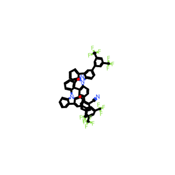 N#Cc1cc(C(F)(F)F)ccc1-c1ccc(-n2c3ccccc3c3cc(-c4cc(C(F)(F)F)cc(C(F)(F)F)c4)ccc32)c(-c2c(C#N)cccc2-n2c3ccccc3c3cc(-c4cc(C(F)(F)F)cc(C(F)(F)F)c4)ccc32)c1